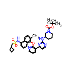 Cc1ccc2c(NS(=O)(=O)CC3CCC3)cccc2c1Oc1ncccc1-c1ccnc(NC2CCCN(C(=O)OC(C)(C)C)C2)n1